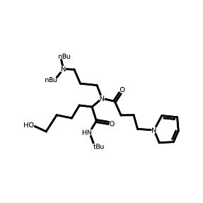 CCCCN(CCCC)CCCN(C(=O)CCCN1C=CC=CC1)C(CCCCO)C(=O)NC(C)(C)C